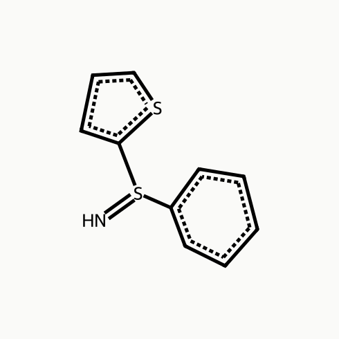 N=S(c1ccccc1)c1cccs1